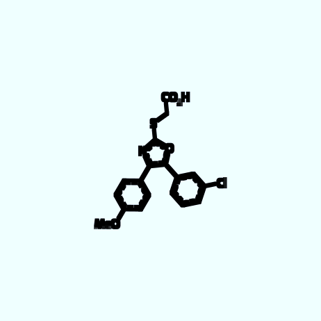 COc1ccc(-c2nc(SCC(=O)O)oc2-c2cccc(Cl)c2)cc1